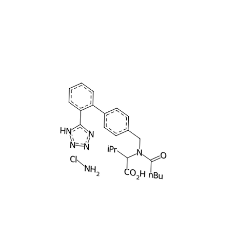 CCCCC(=O)N(Cc1ccc(-c2ccccc2-c2nnn[nH]2)cc1)C(C(=O)O)C(C)C.NCl